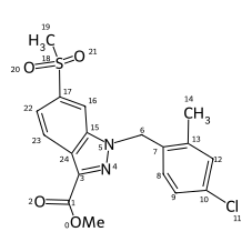 COC(=O)c1nn(Cc2ccc(Cl)cc2C)c2cc(S(C)(=O)=O)ccc12